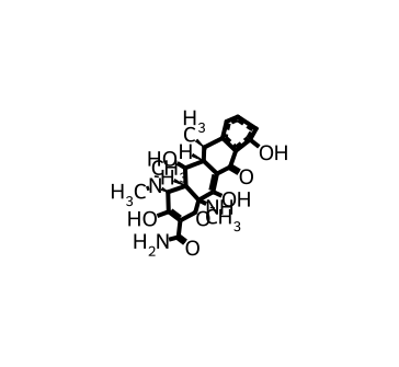 CNC12C(=O)C(C(N)=O)=C(O)[C@@H](N(C)C)[C@@H]1C(O)[C@H]1C(=C2O)C(=O)c2c(O)cccc2[C@@H]1C